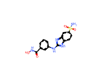 NS(=O)(=O)c1ccc2[nH]c(Nc3cccc(C(=O)NO)c3)nc2c1